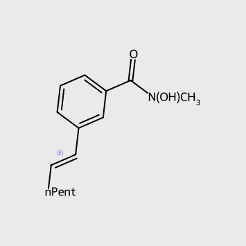 CCCCC/C=C/c1cccc(C(=O)N(C)O)c1